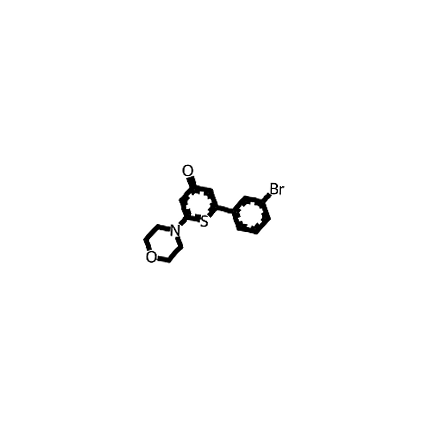 O=c1cc(-c2cccc(Br)c2)sc(N2CCOCC2)c1